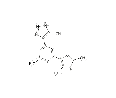 Cc1cc(-c2cc(-c3nn[nH]c3C#N)cc(C(F)(F)F)c2)c(C)s1